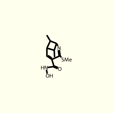 CSC1=NC2C(C)C(C=C1C(=O)NO)C2C